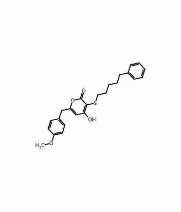 COc1ccc(Cc2cc(O)c(SCCCCCc3ccccc3)c(=O)o2)cc1